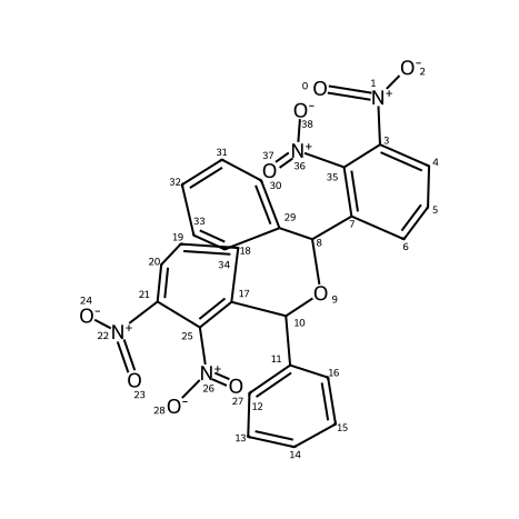 O=[N+]([O-])c1cccc(C(OC(c2ccccc2)c2cccc([N+](=O)[O-])c2[N+](=O)[O-])c2ccccc2)c1[N+](=O)[O-]